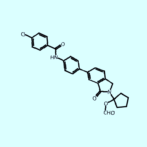 O=COC1(N2Cc3ccc(-c4ccc(NC(=O)c5ccc(Cl)cc5)cc4)cc3C2=O)CCCC1